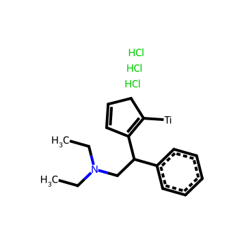 CCN(CC)CC(C1=[C]([Ti])CC=C1)c1ccccc1.Cl.Cl.Cl